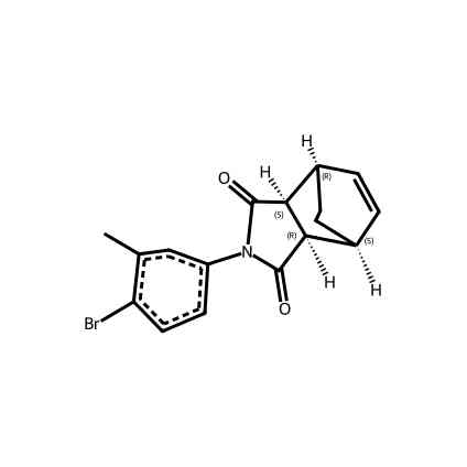 Cc1cc(N2C(=O)[C@@H]3[C@H](C2=O)[C@@H]2C=C[C@H]3CC2)ccc1Br